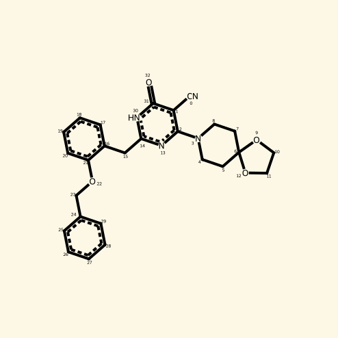 N#Cc1c(N2CCC3(CC2)OCCO3)nc(Cc2ccccc2OCc2ccccc2)[nH]c1=O